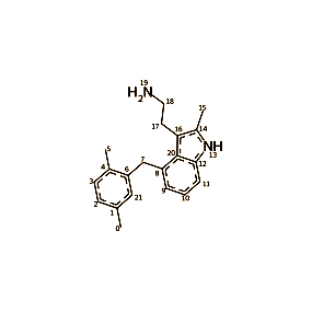 Cc1ccc(C)c(Cc2cccc3[nH]c(C)c(CCN)c23)c1